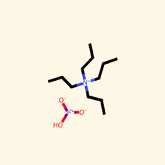 CCC[N+](CCC)(CCC)CCC.[O-][I+2]([O-])O